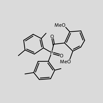 COc1cccc(OC)c1C(=O)P(=O)(c1cc(C)ccc1C)c1cc(C)ccc1C